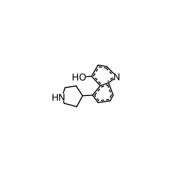 Oc1ccnc2cccc(C3CCNCC3)c12